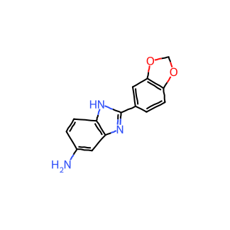 Nc1ccc2[nH]c(-c3ccc4c(c3)OCO4)nc2c1